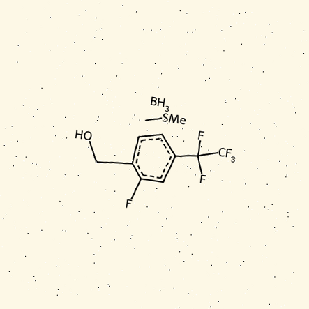 B.CSC.OCc1ccc(C(F)(F)C(F)(F)F)cc1F